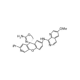 COc1cnc2c(Nc3ccc4c(c3)[C@@]3(CCOC(N)=N3)c3cc(C(C)C)ncc3O4)nccc2c1